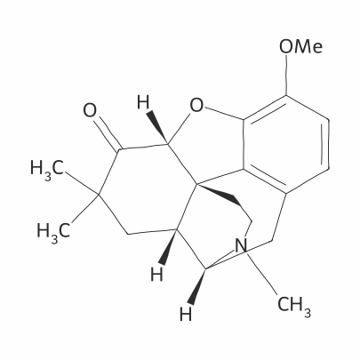 COc1ccc2c3c1O[C@H]1C(=O)C(C)(C)C[C@H]4[C@@H](C2)N(C)CC[C@]314